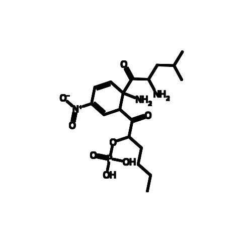 CCCCC(OP(=O)(O)O)C(=O)C1C=C([N+](=O)[O-])C=CC1(N)C(=O)C(N)CC(C)C